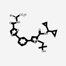 CC(C)[C@H](NC(=O)c1cnc(-c2cccc(-c3cc(C(=O)NC(C4CC4)C4CC4)n(CC(C)(C)O)n3)c2)o1)C(=O)O